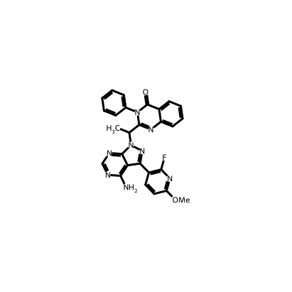 COc1ccc(-c2nn(C(C)c3nc4ccccc4c(=O)n3-c3ccccc3)c3ncnc(N)c23)c(F)n1